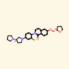 O=c1c2ccc(OC[C@@H]3CCCO3)cc2ccn1-c1ccc(N2CC[C@@H](N3CCCC3)C2)cc1F